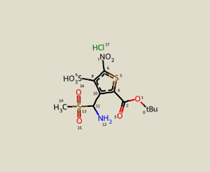 CC(C)(C)OC(=O)c1sc([N+](=O)[O-])c(S(=O)(=O)O)c1C(N)S(C)(=O)=O.Cl